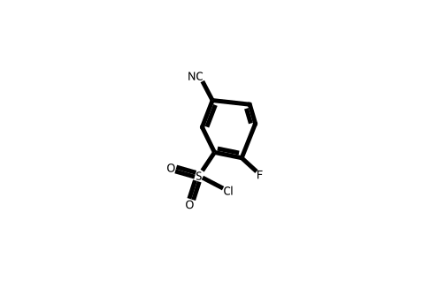 N#Cc1ccc(F)c(S(=O)(=O)Cl)c1